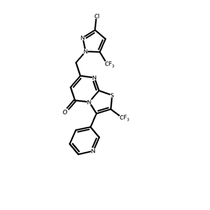 O=c1cc(Cn2nc(Cl)cc2C(F)(F)F)nc2sc(C(F)(F)F)c(-c3cccnc3)n12